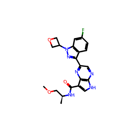 COC[C@H](C)NC(=O)c1c[nH]c2ncc(-c3nn(C4COC4)c4cc(F)ccc34)nc12